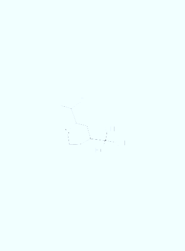 CCC(C)(C)C1CCNC(C(F)F)C1